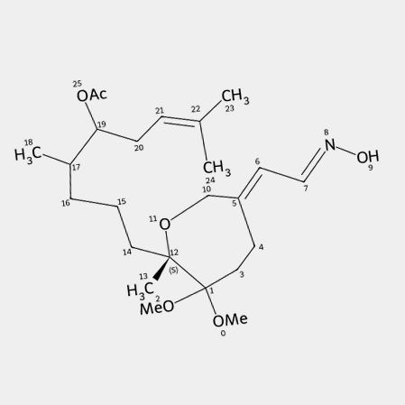 COC1(OC)CCC(=CC=NO)CO[C@@]1(C)CCCC(C)C(CC=C(C)C)OC(C)=O